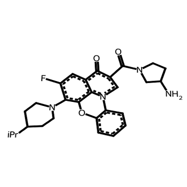 CC(C)C1CCN(c2c(F)cc3c(=O)c(C(=O)N4CCC(N)C4)cn4c3c2Oc2ccccc2-4)CC1